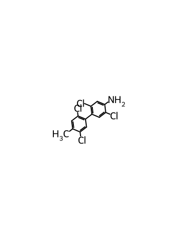 Cc1cc(Cl)c(-c2cc(Cl)c(N)cc2Cl)cc1Cl